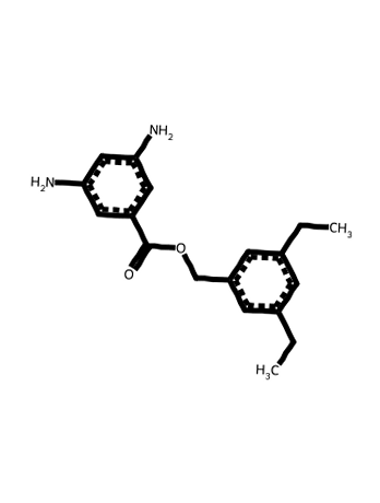 CCc1cc(CC)cc(COC(=O)c2cc(N)cc(N)c2)c1